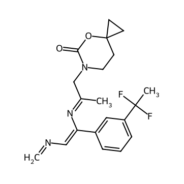 C=N/C=C(\N=C(/C)CN1CCC2(CC2)OC1=O)c1cccc(C(C)(F)F)c1